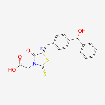 O=C(O)CN1C(=O)/C(=C/c2ccc(C(O)c3ccccc3)cc2)SC1=S